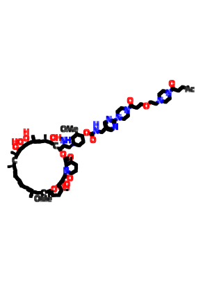 CO[C@H]1C[C@@H]2CC[C@@H](C)[C@@](O)(O2)C(=O)C(=O)N2CCCC[C@H]2C(=O)O[C@H]([C@H](N)C[C@@H]2CC[C@@H](OC(=O)NCc3cnc(N4CCN(C(=O)CCOCCN5CCN(C(=O)CCC(C)=O)CC5)CC4)nc3)[C@H](OC)C2)C[C@@H](O)[C@H](C)/C=C(\C)[C@@H](O)[C@@H](O)C(=O)[C@H](C)C[C@H](C)/C=C/C=C/C=C/1C